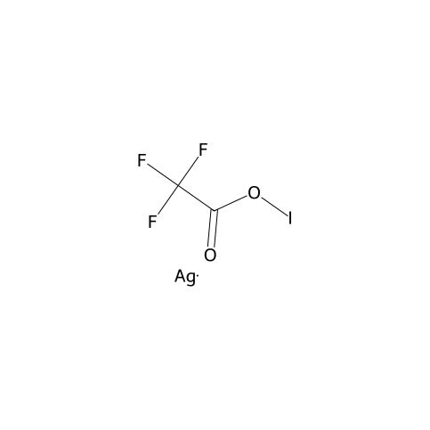 O=C(OI)C(F)(F)F.[Ag]